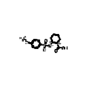 COc1ccc(S(=O)(=O)N[C@H]2CCCC[C@H]2C(=O)O)cc1